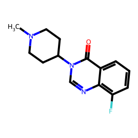 CN1CCC(n2cnc3c(F)cccc3c2=O)CC1